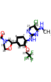 CNc1nc(Nc2ccc(C3CN(C=O)CCO3)cc2OCC(F)(F)F)ncc1Cl